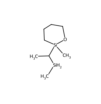 C[SiH2]C(C)[Si]1(C)CCCCO1